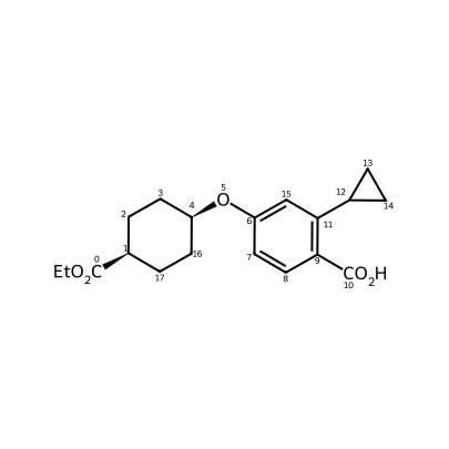 CCOC(=O)[C@H]1CC[C@@H](Oc2ccc(C(=O)O)c(C3CC3)c2)CC1